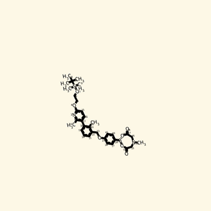 Cc1nc(OCCO[Si](C)(C)C(C)(C)C)ccc1-c1cccc(COc2ccc(B3OC(=O)CN(C)CC(=O)O3)cc2)c1C